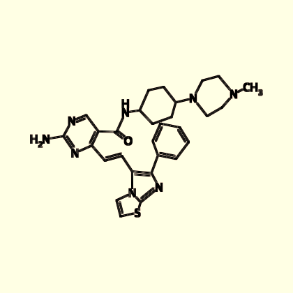 CN1CCN(C2CCC(NC(=O)c3cnc(N)nc3C=Cc3c(-c4ccccc4)nc4sccn34)CC2)CC1